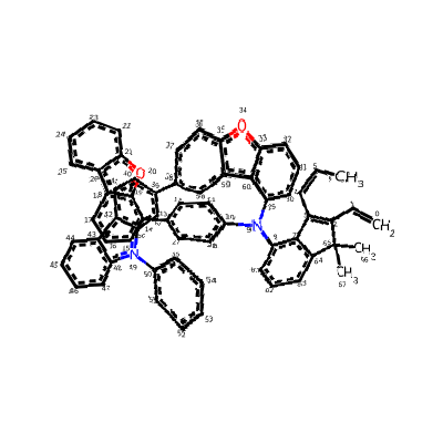 C=CC1=C(/C=C\C)c2c(N(c3ccc(-c4cccc5c4oc4ccccc45)cc3)c3cccc4oc5ccc(-c6ccc7c8ccccc8n(-c8ccccc8)c7c6)cc5c34)cccc2C1(C)C